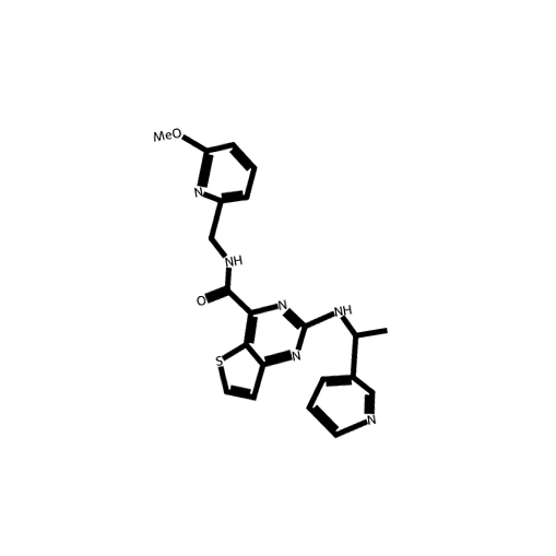 COc1cccc(CNC(=O)c2nc(NC(C)c3cccnc3)nc3ccsc23)n1